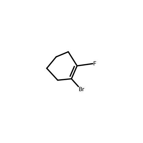 FC1=C(Br)CCCC1